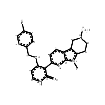 Cn1c2c(c3ccc(-c4c(OCc5ccc(F)cn5)cc[nH]c4=O)nc31)CN(C(=O)O)CC2